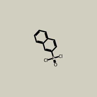 O=P(Cl)(Cl)c1ccc2ccccc2c1